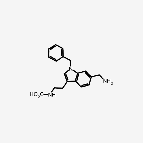 NCc1ccc2c(CCNC(=O)O)cn(Cc3ccccc3)c2c1